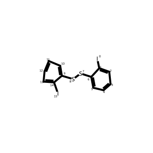 Ic1ccccc1SSc1ccccc1I